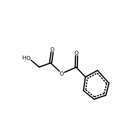 O=C(CO)OC(=O)c1ccccc1